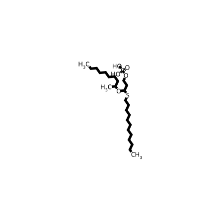 CCCCCCCCCCCCSC(CCOP(=O)(O)O)OC(C)CCCCCCCC